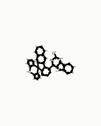 Clc1nc(-c2cccc3c2-c2cc4ccccc4cc2C32c3ccccc3Oc3ccccc32)c2sc3ccccc3c2n1